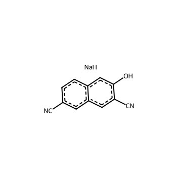 N#Cc1ccc2cc(O)c(C#N)cc2c1.[NaH]